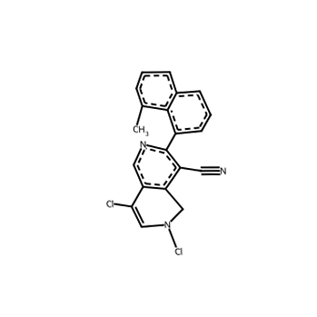 Cc1cccc2cccc(-c3ncc4c(c3C#N)CN(Cl)C=C4Cl)c12